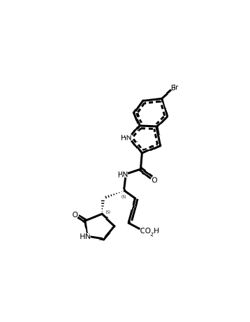 O=C(O)C=C[C@H](C[C@@H]1CCNC1=O)NC(=O)c1cc2cc(Br)ccc2[nH]1